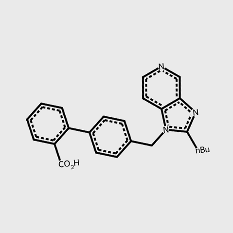 CCCCc1nc2cnccc2n1Cc1ccc(-c2ccccc2C(=O)O)cc1